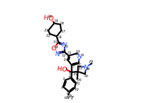 CC(C)c1ccc(C(O)(c2cncc(-c3noc(C4CCC(O)CC4)n3)c2)C2(C)CN(C)C2)cc1